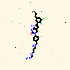 CC(C)CCc1cc(Cl)c(F)c(-c2cc3cn(-c4ccc(CNCCCNCN)cc4)c(=O)nc3[nH]2)c1